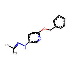 N#CC(C#N)=NNc1ccc(OCc2ccccc2)nc1